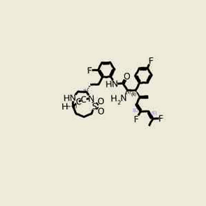 C=C(/C=C(F)\C=C(/C)F)[C@H](c1ccc(F)cc1)[C@H](N)C(=O)Nc1cccc(F)c1CC[C@H]1CN[C@@H]2CCCS(=O)(=O)N1CC2